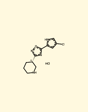 Cl.Clc1c[nH]c(-c2nc([C@H]3CCCNC3)no2)c1